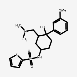 COc1cccc(C2(O)CCC(NS(=O)(=O)c3cccs3)CC2CN(C)C)c1